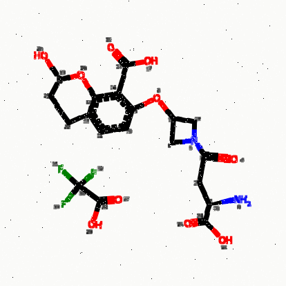 N[C@H](CC(=O)N1CC(Oc2ccc3c(c2C(=O)O)OB(O)CC3)C1)C(=O)O.O=C(O)C(F)(F)F